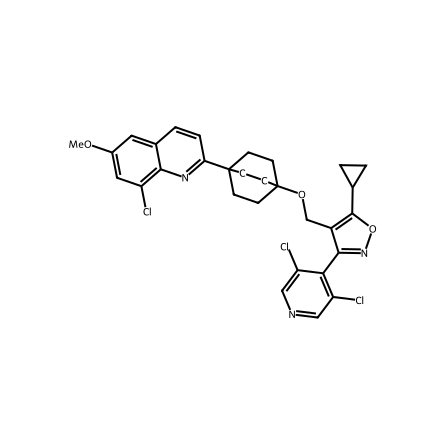 COc1cc(Cl)c2nc(C34CCC(OCc5c(-c6c(Cl)cncc6Cl)noc5C5CC5)(CC3)CC4)ccc2c1